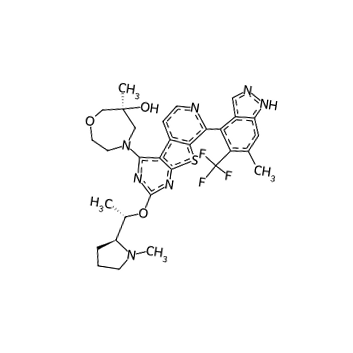 Cc1cc2[nH]ncc2c(-c2nccc3c2sc2nc(O[C@@H](C)[C@@H]4CCCN4C)nc(N4CCOC[C@@](C)(O)C4)c23)c1C(F)(F)F